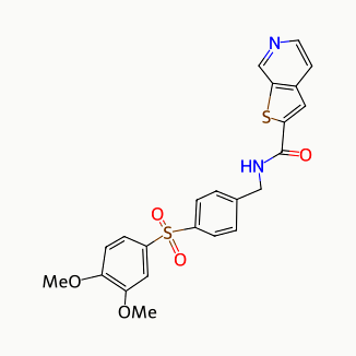 COc1ccc(S(=O)(=O)c2ccc(CNC(=O)c3cc4ccncc4s3)cc2)cc1OC